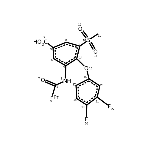 CCCC(=O)Nc1cc(C(=O)O)cc(S(C)(=O)=O)c1Oc1ccc(F)c(F)c1